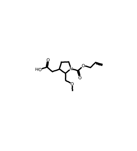 C=CCOC(=O)N1CCC(CC(=O)O)C1COC